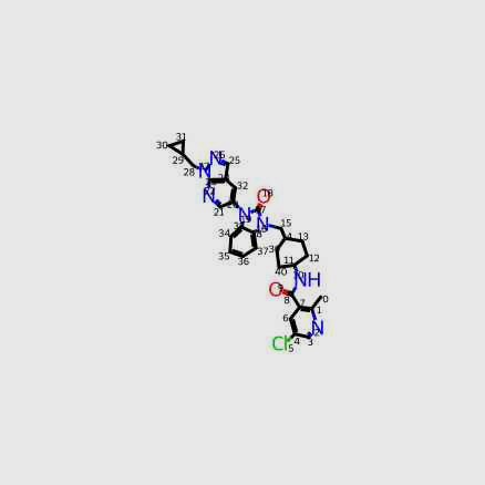 Cc1ncc(Cl)cc1C(=O)NC1CCC(Cn2c(=O)n(-c3cnc4c(cnn4CC4CC4)c3)c3ccccc32)CC1